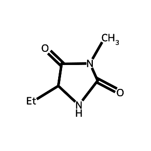 CCC1NC(=O)N(C)C1=O